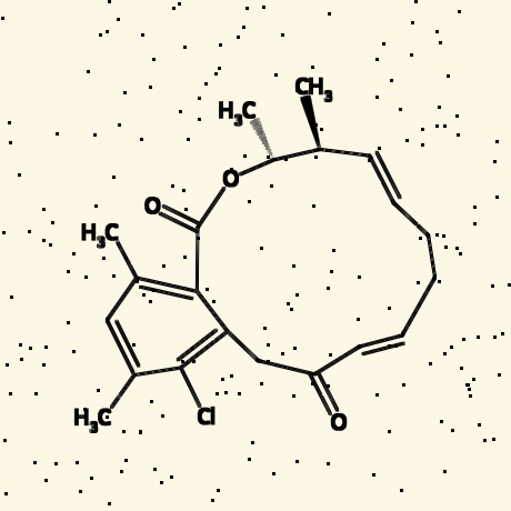 Cc1cc(C)c2c(c1Cl)CC(=O)/C=C/CC/C=C/[C@H](C)[C@@H](C)OC2=O